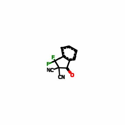 N#CC1(C#N)C(=O)c2ccccc2C1(F)F